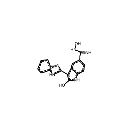 N=C(NO)c1ccc2[nH]c(O)c(-c3nc4ccccc4[nH]3)c2c1